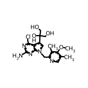 COc1c(C)cnc(Cn2cc(C(O)(CO)CO)c3c(Cl)nc(N)nc32)c1C